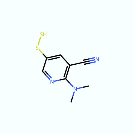 CN(C)c1ncc(SS)cc1C#N